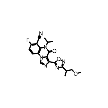 COCC(C)c1noc(-c2ncn3c2c(=O)n(C(C)C)c2c(C#N)c(F)ccc23)n1